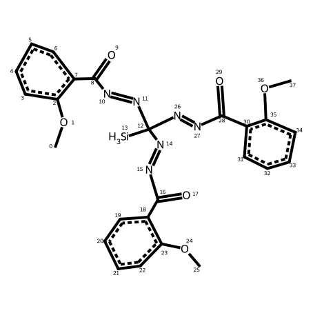 COc1ccccc1C(=O)N=NC([SiH3])(N=NC(=O)c1ccccc1OC)N=NC(=O)c1ccccc1OC